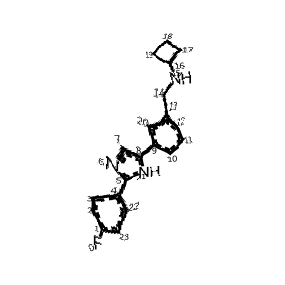 Fc1ccc(-c2ncc(-c3cccc(CNC4CCC4)c3)[nH]2)cc1